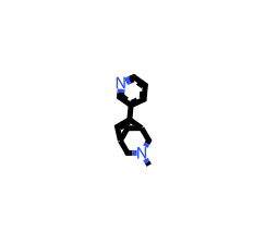 CN1CC2C=C(c3cccnc3)C(C2)C1